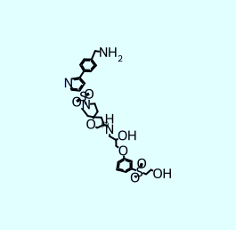 NCc1ccc(-c2cncc(S(=O)(=O)N3CCC4(CC3)C[C@@H](NCC(O)COc3cccc(S(=O)(=O)CCO)c3)CO4)c2)cc1